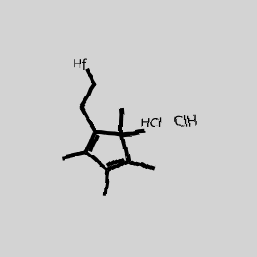 CC1=C(C)C(C)(C)C(C[CH2][Hf])=C1C.Cl.Cl